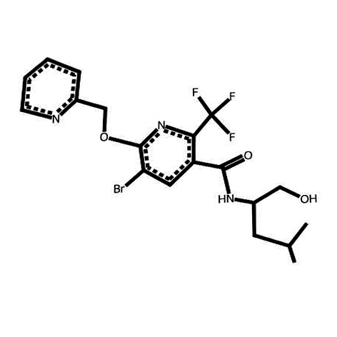 CC(C)CC(CO)NC(=O)c1cc(Br)c(OCc2ccccn2)nc1C(F)(F)F